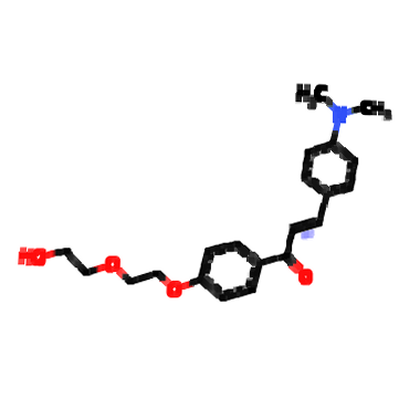 CN(C)c1ccc(/C=C/C(=O)c2ccc(OCCOCCO)cc2)cc1